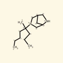 CCCCC(C)(CCC)N1CC2CNC(C2)C1